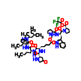 CCCC[C@H](NC(=O)[C@H](CC/C=C/C(=O)OCN1CCC[C@H]1C(=O)N[C@@H](Cc1c[nH]c2ccccc12)C(=O)N1CCC[C@H]1C(=O)OC(=O)C(F)(F)F)NC(=O)[C@@H]1CC(=O)CN1)C(=O)N[C@H](C(=O)N[C@@H](C)CC(C)C)C(C)CC